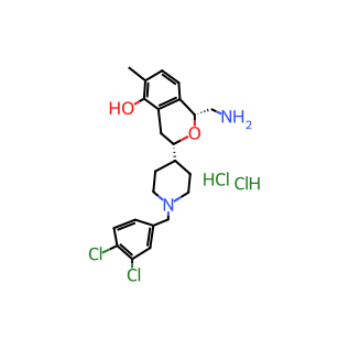 Cc1ccc2c(c1O)C[C@@H](C1CCN(Cc3ccc(Cl)c(Cl)c3)CC1)O[C@H]2CN.Cl.Cl